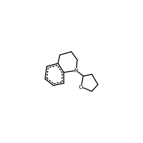 [CH]1CCc2ccccc2N1C1CCCO1